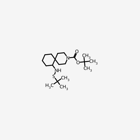 CC(C)(C)OC(=O)N1CCC2(CCCCC2NSC(C)(C)C)CC1